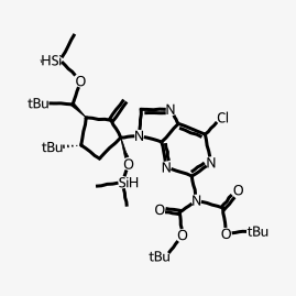 C=C1[C@H](C(O[SiH](C)C)C(C)(C)C)[C@@H](C(C)(C)C)C[C@@]1(O[SiH](C)C)n1cnc2c(Cl)nc(N(C(=O)OC(C)(C)C)C(=O)OC(C)(C)C)nc21